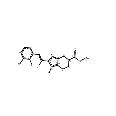 Cc1c(Cl)cccc1/C=C(\F)c1nc2c(n1C)CCN(C(=O)OC(C)(C)C)C2